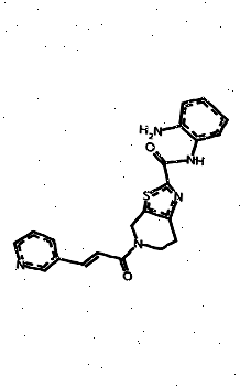 Nc1ccccc1NC(=O)c1nc2c(s1)CN(C(=O)/C=C/c1cccnc1)CC2